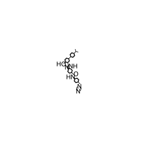 CC(C)c1ccc(-c2ccc(O)c(-c3nc4ccc(C(=O)Nc5ccc(CN6CCN(C)CC6)cc5)cc4[nH]3)c2)cc1